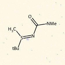 CNC(=O)/N=S(\C)C(C)(C)C